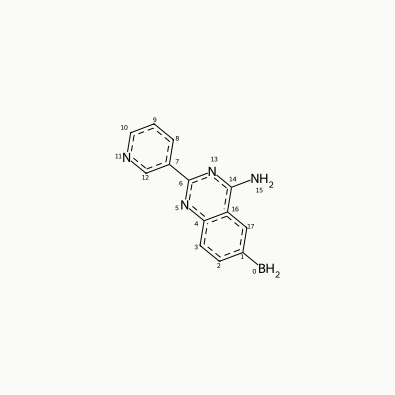 Bc1ccc2nc(-c3cccnc3)nc(N)c2c1